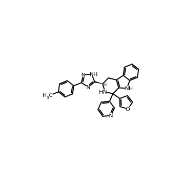 Cc1ccc(-c2n[nH]c([C@H]3Cc4c([nH]c5ccccc45)C(c4cccnc4)(c4ccoc4)N3)n2)cc1